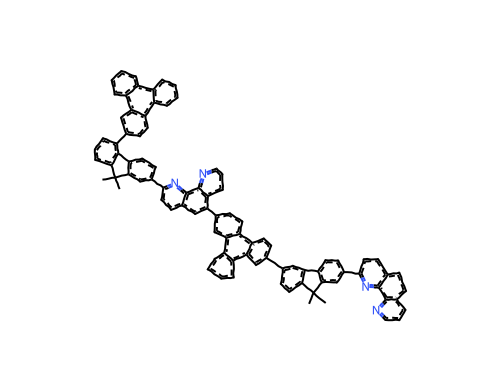 CC1(C)c2ccc(-c3ccc4c5ccc(-c6cc7ccc(-c8ccc9c(c8)C(C)(C)c8cccc(-c%10ccc%11c%12ccccc%12c%12ccccc%12c%11c%10)c8-9)nc7c7ncccc67)cc5c5ccccc5c4c3)cc2-c2ccc(-c3ccc4ccc5cccnc5c4n3)cc21